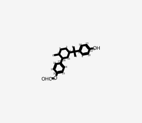 CC1CCC(C(C)(C)c2ccc(O)cc2)CC1c1ccc(OC=O)cc1